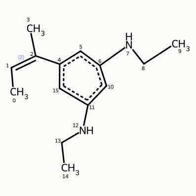 C/C=C(/C)c1cc(NCC)cc(NCC)c1